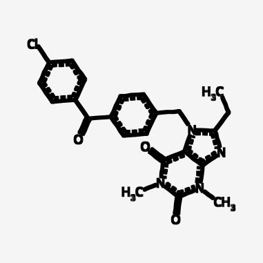 CCc1nc2c(c(=O)n(C)c(=O)n2C)n1Cc1ccc(C(=O)c2ccc(Cl)cc2)cc1